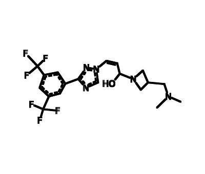 CN(C)CC1CN(C(O)/C=C\n2cnc(-c3cc(C(F)(F)F)cc(C(F)(F)F)c3)n2)C1